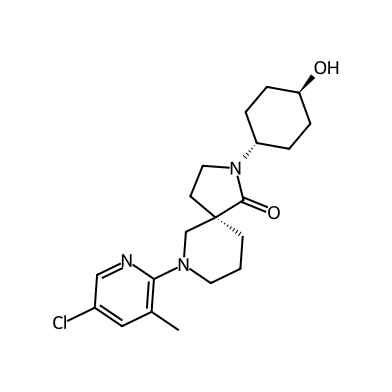 Cc1cc(Cl)cnc1N1CCC[C@@]2(CCN([C@H]3CC[C@H](O)CC3)C2=O)C1